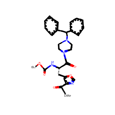 COC(=O)c1ncoc1C[C@H](NC(=O)OC(C)(C)C)C(=O)N1CCN(C(c2ccccc2)c2ccccc2)CC1